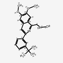 [CH]NCc1nc(-c2cccc(C(C)(C)C)c2)cc2cc(OC)c(OC)cc12